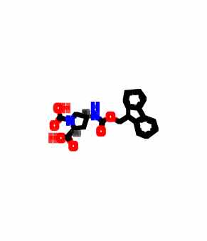 O=C(N[C@@H]1C[C@@H](C(=O)O)N(C(=O)O)C1)OCC1c2ccccc2-c2ccccc21